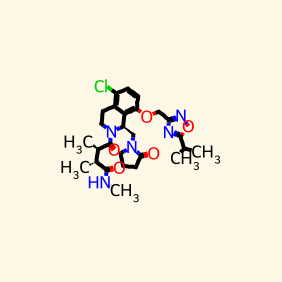 CNC(=O)[C@H](C)[C@@H](C)C(=O)N1CCc2c(Cl)ccc(OCc3noc(C(C)C)n3)c2[C@H]1CN1CCCC1=O